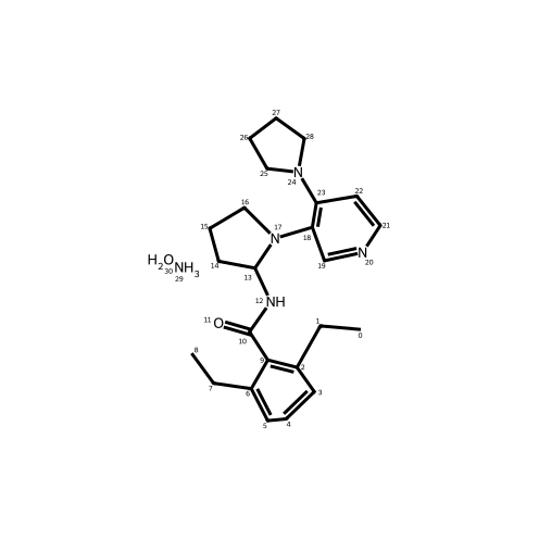 CCc1cccc(CC)c1C(=O)NC1CCCN1c1cnccc1N1CCCC1.N.O